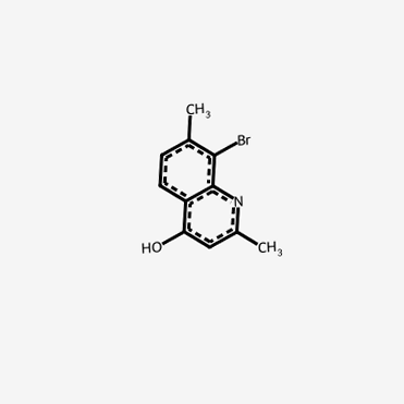 Cc1cc(O)c2ccc(C)c(Br)c2n1